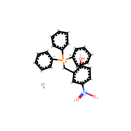 O=[N+]([O-])c1ccc(O)c(C[P+](c2ccccc2)(c2ccccc2)c2ccccc2)c1.[Cl-]